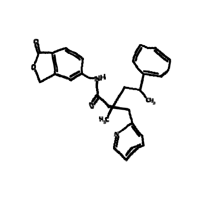 CC(CC(C)(Cc1ccccn1)C(=O)Nc1ccc2c(c1)COC2=O)c1ccccc1